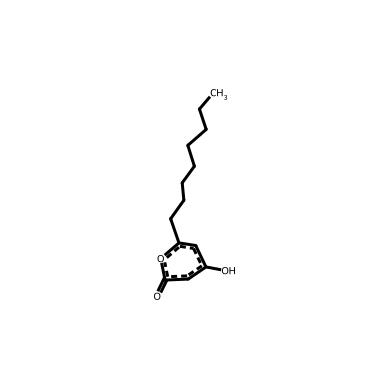 CCCCCCCCc1cc(O)cc(=O)o1